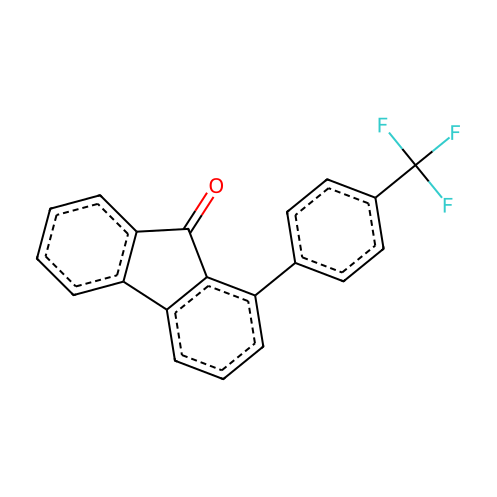 O=C1c2ccccc2-c2cccc(-c3ccc(C(F)(F)F)cc3)c21